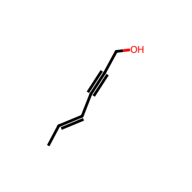 CC=CC#CCO